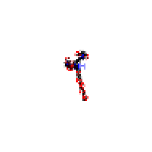 COCCOCCOCCOCCOCCC(=O)N[C@@H](CCCCN1C(=O)C=CC1=O)C(=O)ON1C(=O)CCC1=O